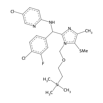 CSc1c(C)nc(C(Nc2ccc(Cl)cn2)c2ccc(Cl)c(F)c2)n1COCC[Si](C)(C)C